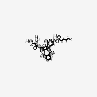 CCCCCC(=O)ONc1ccn([C@@H]2OC(COC(=O)[C@@H](N)CO)[C@H]3OC(=O)c4ccccc4C(=O)O[C@H]32)c(=O)n1